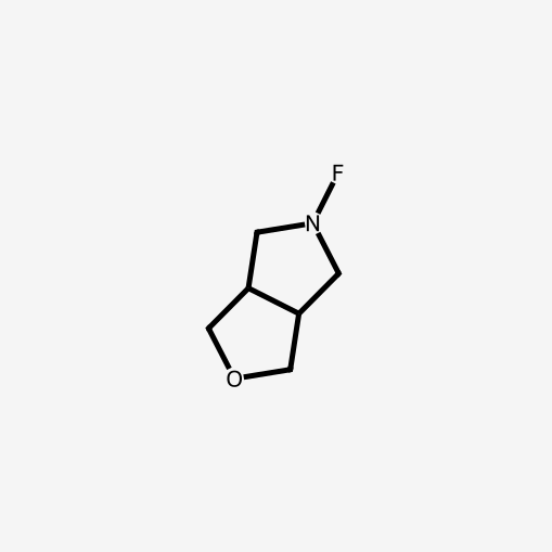 FN1CC2COCC2C1